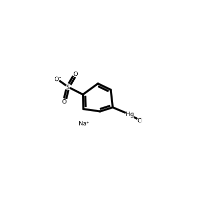 O=S(=O)([O-])c1cc[c]([Hg][Cl])cc1.[Na+]